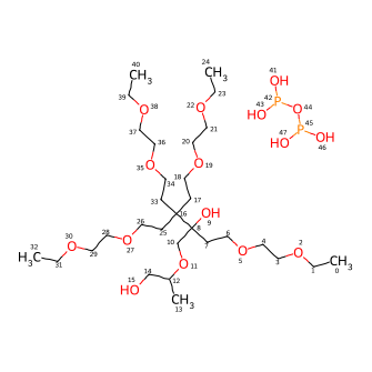 CCOCCOCCC(O)(COC(C)CO)C(CCOCCOCC)(CCOCCOCC)CCOCCOCC.OP(O)OP(O)O